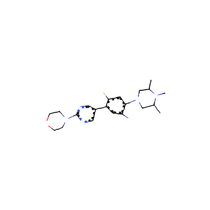 CC1CN(c2cc(F)c(-c3cnc(N4CCOCC4)nc3)cc2N)CC(C)N1C